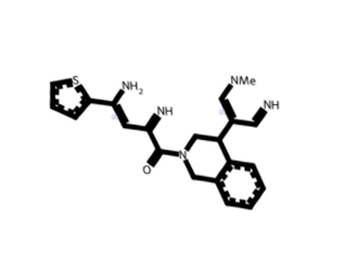 CN/C=C(\C=N)C1CN(C(=O)C(=N)/C=C(\N)c2cccs2)Cc2ccccc21